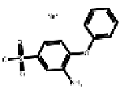 Nc1cc(S(=O)(=O)[O-])ccc1Oc1ccccc1.[Na+]